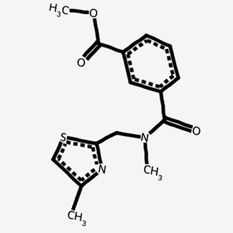 COC(=O)c1cccc(C(=O)N(C)Cc2nc(C)cs2)c1